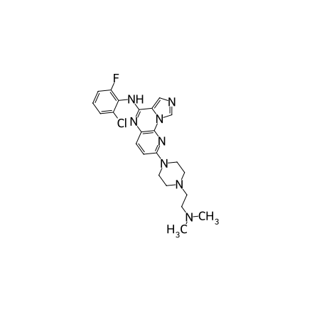 CN(C)CCN1CCN(c2ccc3nc(Nc4c(F)cccc4Cl)c4cncn4c3n2)CC1